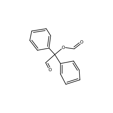 O=COC(C=O)(c1ccccc1)c1ccccc1